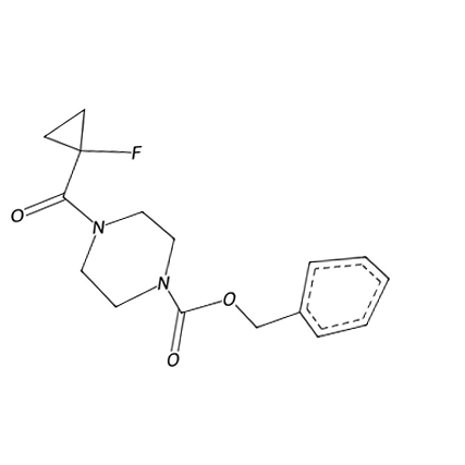 O=C(OCc1ccccc1)N1CCN(C(=O)C2(F)CC2)CC1